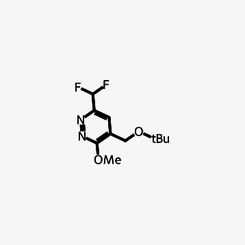 COc1nnc(C(F)F)cc1COC(C)(C)C